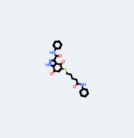 O=C(CCCCSC1=CC(=O)c2[nH]nc(C(=O)Nc3ccccc3)c2C1=O)Nc1ccccc1